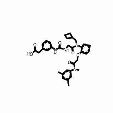 Cc1cc(C)cc(N(C)C(=O)COc2ccccc2N(CC2CCC2)C(=O)CNC(=O)Nc2cccc(CC(=O)O)c2)c1